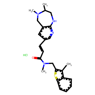 Cc1c(CN(C)C(=O)/C=C/c2cnc3c(c2)CN(C)C(C)CN3)sc2ccccc12.Cl